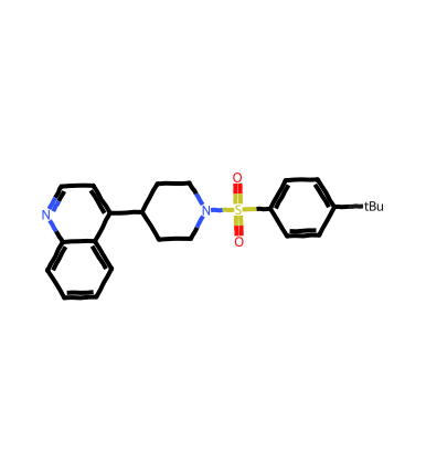 CC(C)(C)c1ccc(S(=O)(=O)N2CCC(c3ccnc4ccccc34)CC2)cc1